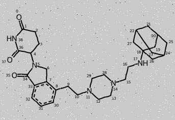 O=C1CCC(N2Cc3c(CCN4CCN(CCNC56CC7CC(CC(C7)C5)C6)CC4)cccc3C2=O)C(=O)N1